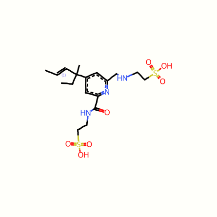 C/C=C/C(C)(CC)c1cc(CNCCS(=O)(=O)O)nc(C(=O)NCCS(=O)(=O)O)c1